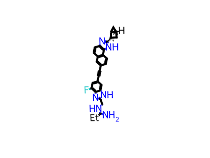 CCC(N)NCc1nc2c(F)cc(C#Cc3ccc4c(ccc5nc([C@@H]6C[C@H]7CC76)[nH]c54)c3)cc2[nH]1